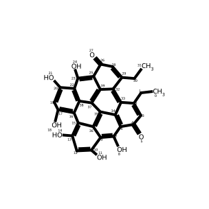 CCc1cc(=O)c2c(O)c3c(O)cc(O)c4c5c(O)cc(O)c6c(O)c7c(=O)cc(CC)c8c1c2c(c34)c(c65)c78